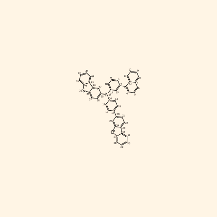 c1cc(-c2cccc3ccccc23)cc(N(c2ccc(-c3ccc4c(c3)oc3ccccc34)cc2)c2ccc3sc4ccccc4c3c2)c1